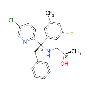 C[C@@H](O)CN[C@@](Cc1ccccc1)(c1cc(F)cc(C(F)(F)F)c1)c1ccc(Cl)cn1